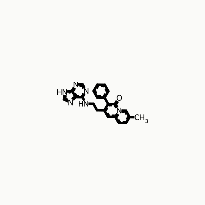 Cc1ccc2cc(CCNc3ncnc4[nH]cnc34)c(-c3ccccc3)c(=O)n2c1